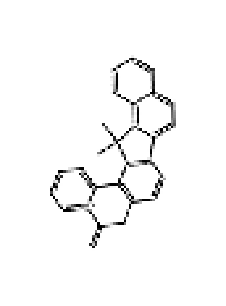 C=C1Cc2ccc3c(c2-c2cccc[n+]21)C(C)(C)c1c-3ccc2ccccc12